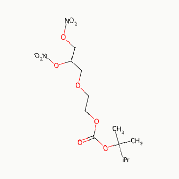 CC(C)C(C)(C)OC(=O)OCCOCC(CO[N+](=O)[O-])O[N+](=O)[O-]